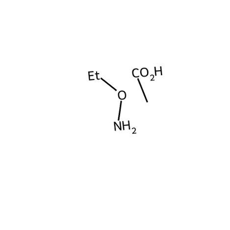 CC(=O)O.CCON